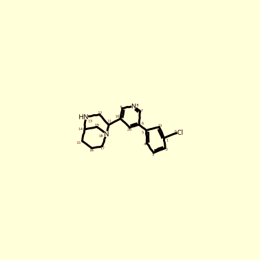 Clc1cccc(-c2cncc(C3CNC4CCCN3C4)c2)c1